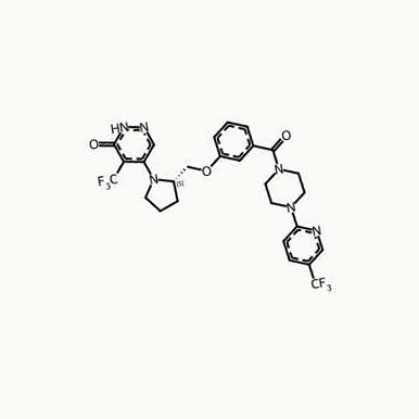 O=C(c1cccc(OC[C@@H]2CCCN2c2cn[nH]c(=O)c2C(F)(F)F)c1)N1CCN(c2ccc(C(F)(F)F)cn2)CC1